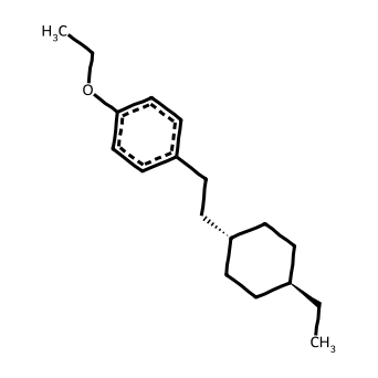 CCOc1ccc(CC[C@H]2CC[C@H](CC)CC2)cc1